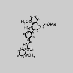 COCCOCc1c(-c2ccccc2C)[nH]c2ccc(CNC(=O)c3cncnc3C)cc12